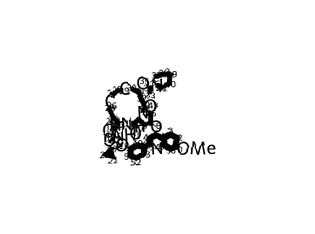 COc1ccc2c(O[C@@H]3C[C@H]4C(=O)N[C@H](C(=O)NS(=O)(=O)C5CC5)[C@@H](C)CCCCCCC[C@H](CC(=O)N5CCCCC5)C(=O)N4C3)cc(-c3ccccc3)nc2c1